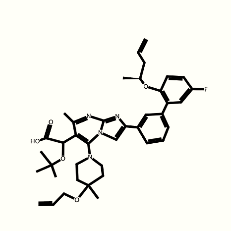 C=CCOC1(C)CCN(c2c(C(OC(C)(C)C)C(=O)O)c(C)nc3nc(-c4cccc(-c5cc(F)ccc5O[C@@H](C)CC=C)c4)cn23)CC1